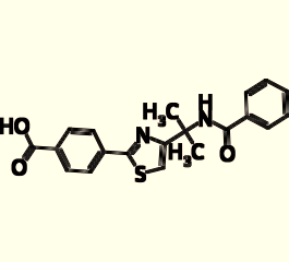 CC(C)(NC(=O)c1ccccc1)c1csc(-c2ccc(C(=O)O)cc2)n1